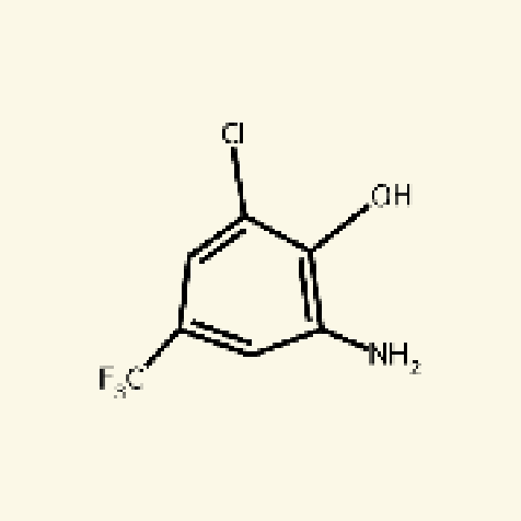 Nc1cc(C(F)(F)F)cc(Cl)c1O